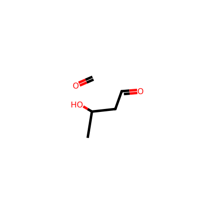 C=O.CC(O)CC=O